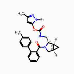 CCn1nc(C)cc1OC(=O)NC[C@@H]1[C@H]2C[C@H]2CN1C(=O)c1ccccc1-c1ccc(C)cc1